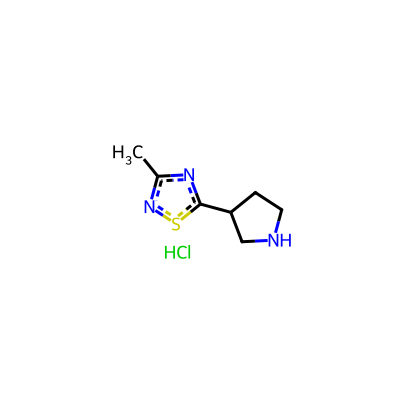 Cc1nsc(C2CCNC2)n1.Cl